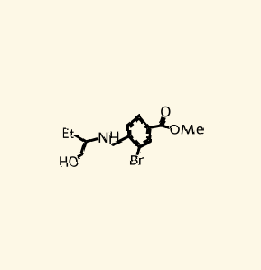 CCC(CO)NCc1ccc(C(=O)OC)cc1Br